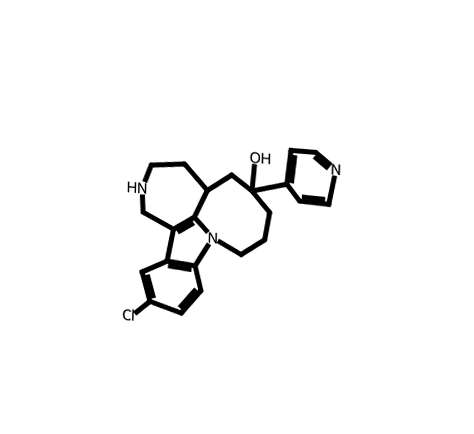 OC1(c2ccncc2)CCCn2c3c(c4cc(Cl)ccc42)CNCCC3C1